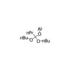 CCCCOC(CCC)([O][Al])OCCCC